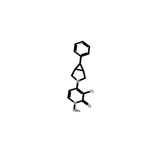 CCCCn1ccc(N2CC3C(C2)C3c2ccccc2)c(Cl)c1=O